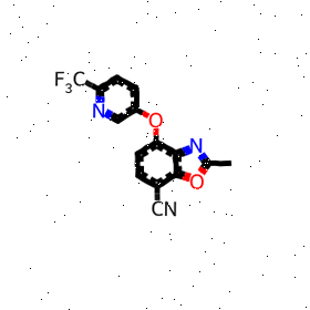 Cc1nc2c(Oc3ccc(C(F)(F)F)nc3)ccc(C#N)c2o1